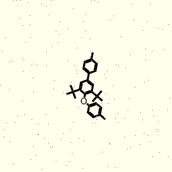 Cc1ccc(Oc2c(C(C)(C)C)cc(-c3ccc(C)cc3)cc2C(C)(C)C)cc1